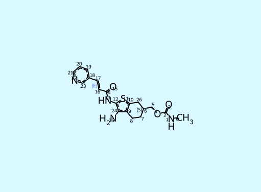 CNC(=O)OC[C@H]1CCc2c(sc(NC(=O)/C=C/c3cccnc3)c2N)C1